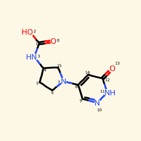 O=C(O)NC1CCN(c2cn[nH]c(=O)c2)C1